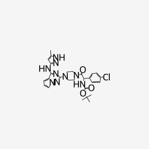 Cc1cc(Nc2nc(N3CCN(C(=O)C(NC(=O)OC(C)(C)C)c4ccc(Cl)cc4)CC3)nn3cccc23)n[nH]1